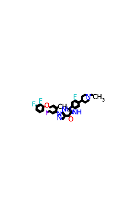 CCN1CCC(c2cc3[nH]c(C(=O)c4cnn(C(=C/CI)/C(C)=C\COc5cccc(F)c5F)c4N)cc3cc2F)CC1